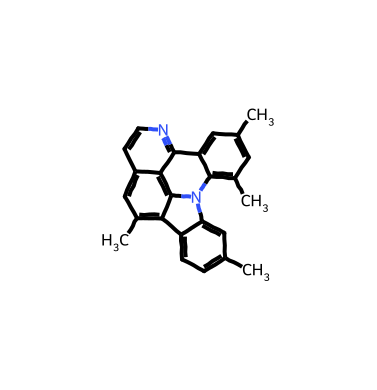 Cc1cc(C)c2c(c1)c1nccc3cc(C)c4c5ccc(C)cc5n2c4c31